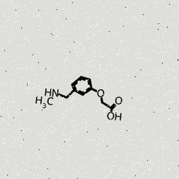 CNCc1cccc(OCC(=O)O)c1